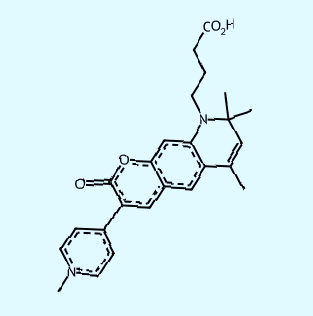 CC1=CC(C)(C)N(CCCC(=O)O)c2cc3oc(=O)c(-c4cc[n+](C)cc4)cc3cc21